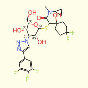 CN(C(=O)C(S[C@@H]1O[C@H](CO)[C@H](O)[C@H](n2cc(-c3cc(F)c(F)c(F)c3)nn2)[C@H]1O)C1(O)CCC(F)(F)CC1)C1CC1